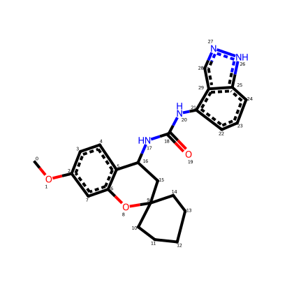 COc1ccc2c(c1)OC1(CCCCC1)CC2NC(=O)Nc1cccc2[nH]ncc12